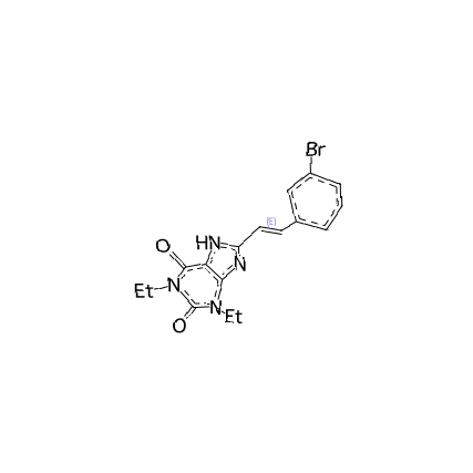 CCn1c(=O)c2[nH]c(/C=C/c3cccc(Br)c3)nc2n(CC)c1=O